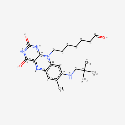 Cc1cc2nc3c(=O)[nH]c(=O)nc-3n(CCCCCCC=O)c2cc1NCC(C)(C)C